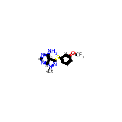 CCn1nc(Sc2cccc(OC(F)(F)F)c2)c2c(N)ncnc21